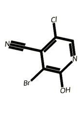 N#Cc1c(Cl)cnc(O)c1Br